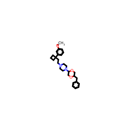 COc1cccc(C2(CCN3CCN(C4COC(Cc5ccccc5)CO4)CC3)CCC2)c1